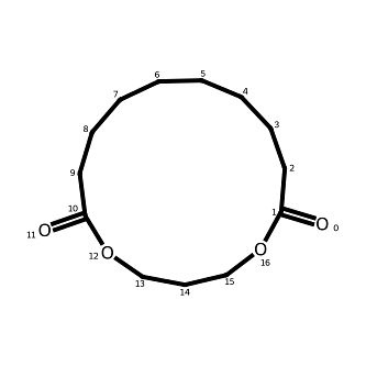 O=C1CCCCCCCCC(=O)OCCCO1